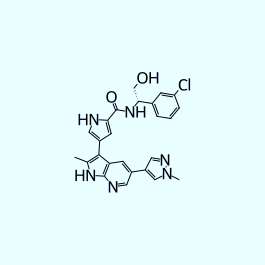 Cc1[nH]c2ncc(-c3cnn(C)c3)cc2c1-c1c[nH]c(C(=O)N[C@H](CO)c2cccc(Cl)c2)c1